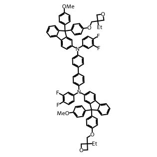 CCC1(COc2ccc(C3(c4ccc(OC)cc4)c4ccccc4-c4ccc(N(c5ccc(-c6ccc(N(c7ccc(F)c(F)c7)c7ccc8c(c7)C(c7ccc(OC)cc7)(c7ccc(OCC9(CC)COC9)cc7)c7ccccc7-8)cc6)cc5)c5ccc(F)c(F)c5)cc43)cc2)COC1